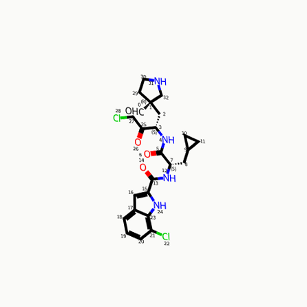 O=C[C@@]1(C[C@H](NC(=O)[C@H](CC2CC2)NC(=O)c2cc3cccc(Cl)c3[nH]2)C(=O)CCl)CCNC1